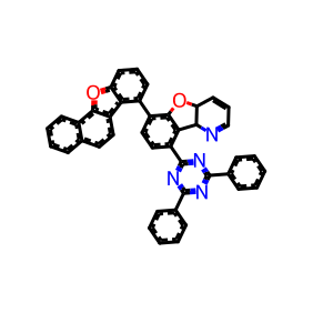 C1=CC2Oc3c(-c4cccc5oc6c7ccccc7ccc6c45)ccc(-c4nc(-c5ccccc5)nc(-c5ccccc5)n4)c3C2N=C1